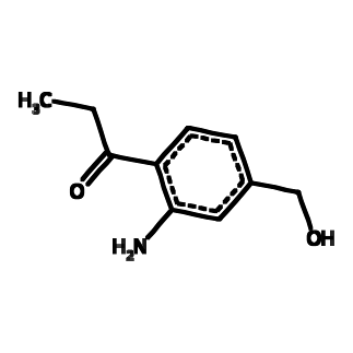 CCC(=O)c1ccc(CO)cc1N